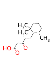 CC1=C(CCC(=O)CC(=O)O)C(C)(C)CCC1